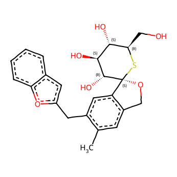 Cc1cc2c(cc1Cc1cc3ccccc3o1)[C@]1(OC2)S[C@H](CO)[C@@H](O)[C@H](O)[C@H]1O